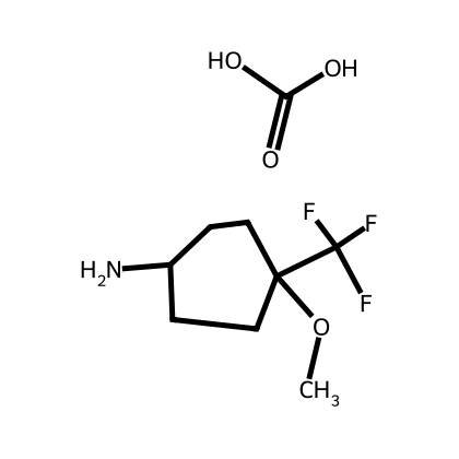 COC1(C(F)(F)F)CCC(N)CC1.O=C(O)O